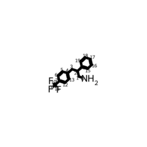 NCC(Cc1ccc(C(F)(F)F)cc1)c1ccccc1